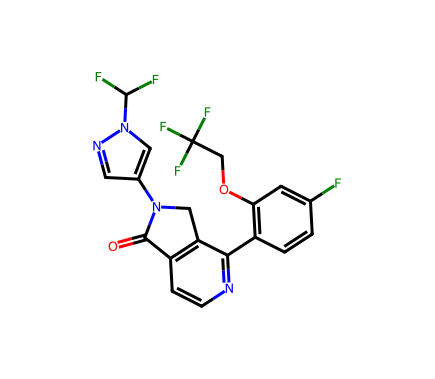 O=C1c2ccnc(-c3ccc(F)cc3OCC(F)(F)F)c2CN1c1cnn(C(F)F)c1